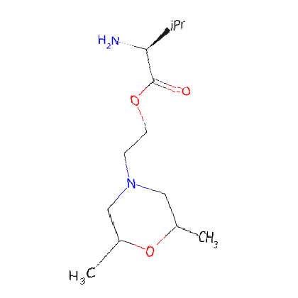 CC1CN(CCOC(=O)[C@@H](N)C(C)C)CC(C)O1